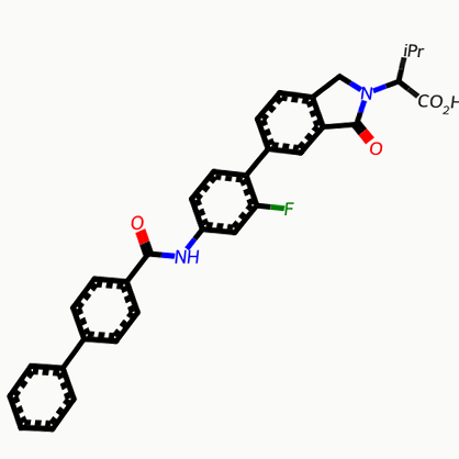 CC(C)C(C(=O)O)N1Cc2ccc(-c3ccc(NC(=O)c4ccc(-c5ccccc5)cc4)cc3F)cc2C1=O